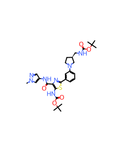 Cn1cc(NC(=O)c2nc(-c3cccc(N4CC[C@@H](CNC(=O)OC(C)(C)C)C4)c3)sc2NC(=O)OC(C)(C)C)cn1